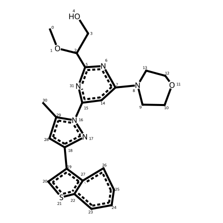 COC(CO)c1nc(N2CCOCC2)cc(-n2nc(-c3csc4ccccc34)cc2C)n1